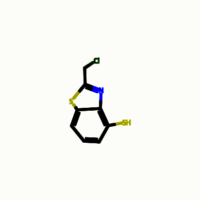 Sc1cccc2sc(CCl)nc12